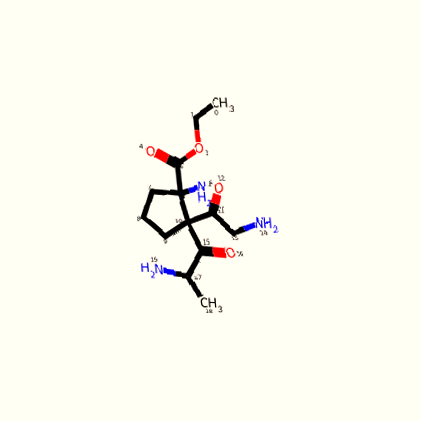 CCOC(=O)C1(N)CCCC1(C(=O)CN)C(=O)C(C)N